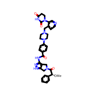 CO[C@@H](C(=O)N1Cc2[nH]nc(NC(=O)c3ccc(N4CCN(Cc5ccncc5N5CCC(=O)NC5=O)CC4)cc3)c2C1)c1ccccc1